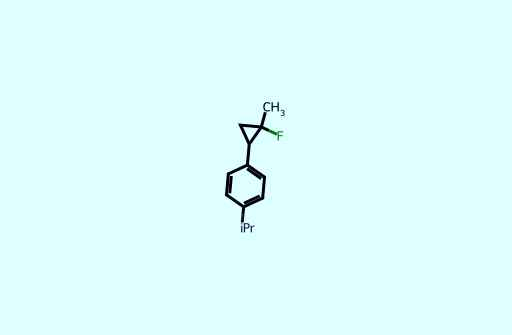 CC(C)c1ccc(C2CC2(C)F)cc1